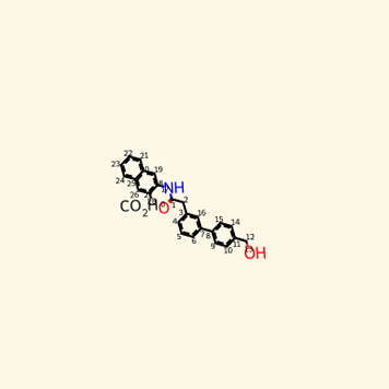 O=C(Cc1cccc(-c2ccc(CO)cc2)c1)Nc1cc2ccccc2cc1C(=O)O